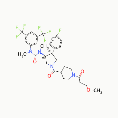 COCCC(=O)N1CCC(C(=O)N2C[C@@H](N(C)C(=O)N(C)c3cc(C(F)(F)F)cc(C(F)(F)F)c3)[C@H](c3ccc(F)cc3)C2)CC1